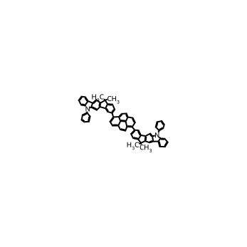 CC1(C)c2ccc(-c3ccc4ccc5c(-c6ccc7c(c6)-c6cc8c(cc6C7(C)C)c6ccccc6n8-c6ccccc6)ccc6ccc3c4c65)cc2-c2cc3c(cc21)c1ccccc1n3-c1ccccc1